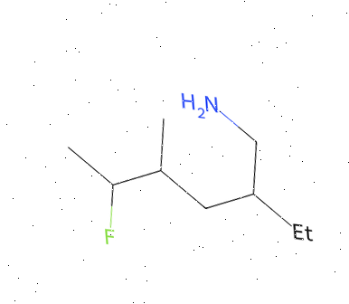 CCC(CN)CC(C)C(C)F